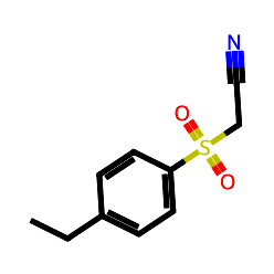 CCc1ccc(S(=O)(=O)CC#N)cc1